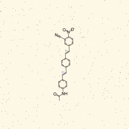 CC(=O)Nc1ccc(/C=C/c2ccc(/C=C/c3ccc([N+](=O)[O-])c(C#N)c3)cc2)cc1